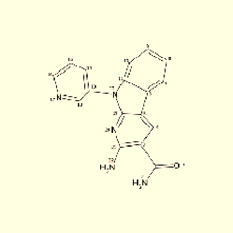 NC(=O)c1cc2c3ccccc3n(-c3cccnc3)c2nc1N